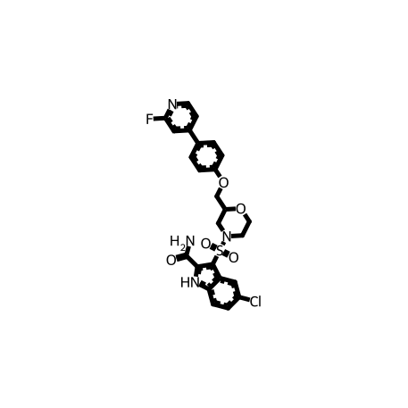 NC(=O)c1[nH]c2ccc(Cl)cc2c1S(=O)(=O)N1CCOC(COc2ccc(-c3ccnc(F)c3)cc2)C1